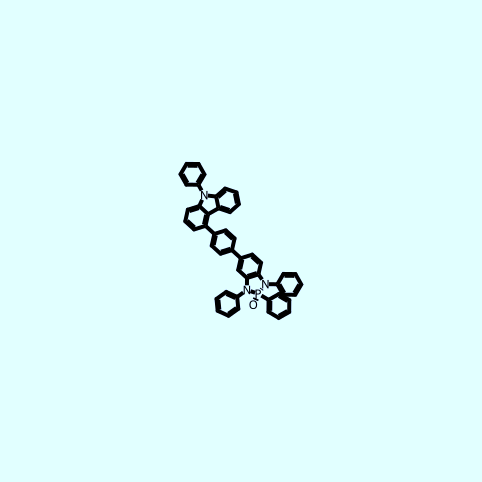 O=P1(c2ccccc2)N(c2ccccc2)c2ccc(-c3ccc(-c4cccc5c4c4ccccc4n5-c4ccccc4)cc3)cc2N1c1ccccc1